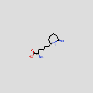 N=C1CCCC[C@H](CCCC[C@H](N)C(=O)O)N1